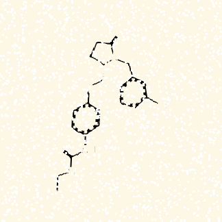 CCNC(=O)Nc1ccc(OC[C@@H]2CCC(=O)N2Cc2cccc(Cl)c2)cc1